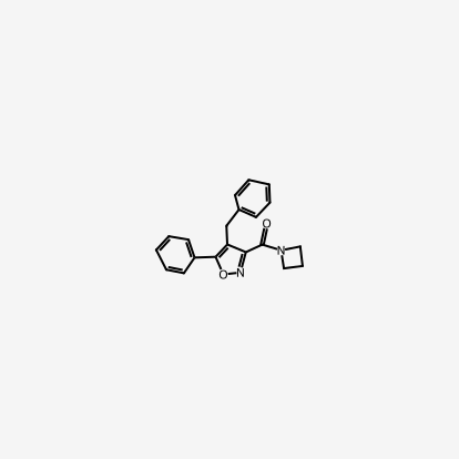 O=C(c1noc(-c2ccccc2)c1Cc1ccccc1)N1CCC1